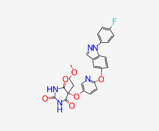 COCCC1(Oc2ccc(Oc3ccc4c(cnn4-c4ccc(F)cc4)c3)nc2)C(=O)NC(=O)NC1=O